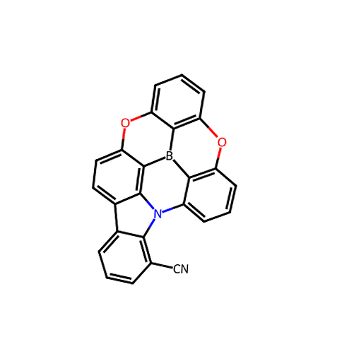 N#Cc1cccc2c3ccc4c5c3n(c12)-c1cccc2c1B5c1c(cccc1O4)O2